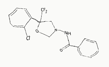 O=C(NN1COC(c2ccccc2Cl)(C(F)(F)F)C1)c1ccccc1